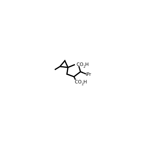 CC(C)C(C(=O)O)C(CC1(C)CC1C)C(=O)O